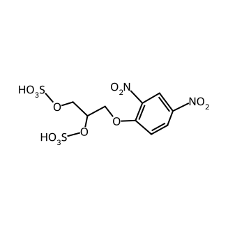 O=[N+]([O-])c1ccc(OCC(COS(=O)(=O)O)OS(=O)(=O)O)c([N+](=O)[O-])c1